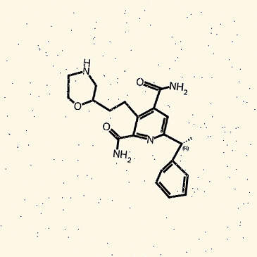 C[C@H](c1ccccc1)c1cc(C(N)=O)c(CCC2CNCCO2)c(C(N)=O)n1